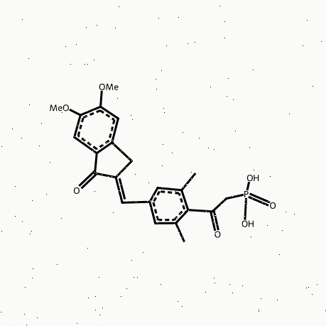 COc1cc2c(cc1OC)C(=O)C(=Cc1cc(C)c(C(=O)CP(=O)(O)O)c(C)c1)C2